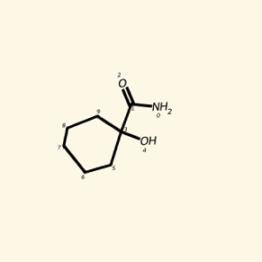 NC(=O)C1(O)CC[CH]CC1